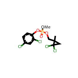 COP(=O)(OCC1(C)CC1(Cl)Cl)Oc1ccc(Cl)cc1Cl